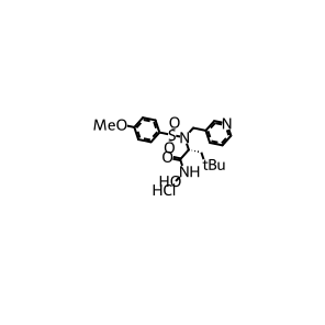 COc1ccc(S(=O)(=O)N(Cc2cccnc2)[C@H](CC(C)(C)C)C(=O)NO)cc1.Cl